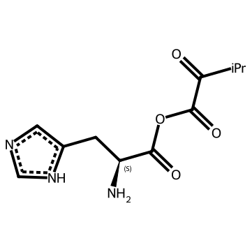 CC(C)C(=O)C(=O)OC(=O)[C@@H](N)Cc1cnc[nH]1